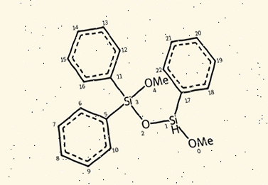 CO[SiH](O[Si](OC)(c1ccccc1)c1ccccc1)c1ccccc1